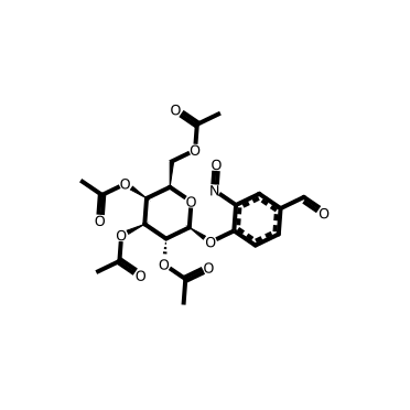 CC(=O)OC[C@H]1O[C@@H](Oc2ccc(C=O)cc2N=O)[C@H](OC(C)=O)[C@@H](OC(C)=O)[C@H]1OC(C)=O